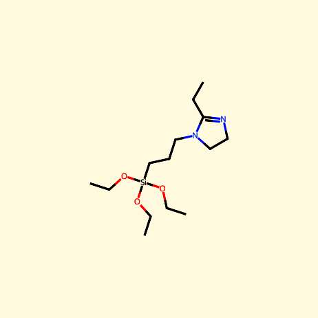 CCO[Si](CCCN1CCN=C1CC)(OCC)OCC